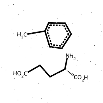 Cc1ccccc1.N[C@@H](CCC(=O)O)C(=O)O